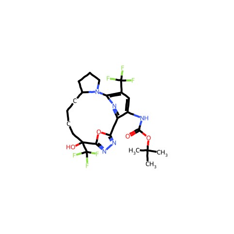 CC(C)(C)OC(=O)Nc1cc(C(F)(F)F)c2nc1-c1nnc(o1)C(O)(C(F)(F)F)CCCCC1CCCN21